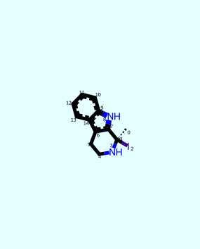 C[C@]1(I)NCCc2c1[nH]c1ccccc21